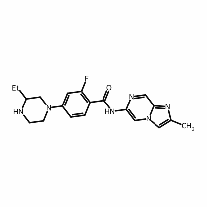 CCC1CN(c2ccc(C(=O)Nc3cn4cc(C)nc4cn3)c(F)c2)CCN1